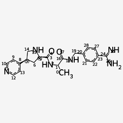 CC(NC(=O)[C@H]1C[C@@H](c2ccncc2)CN1)C(=O)NCc1ccc(C(=N)N)cc1